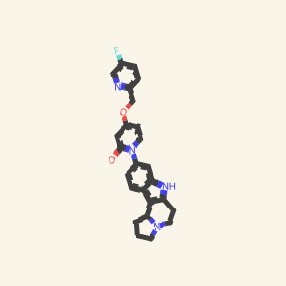 O=c1cc(OCc2ccc(F)cn2)ccn1-c1ccc2c3c([nH]c2c1)CCN1CCCC31